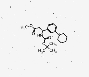 COC(=O)C[C@H](NC(=O)OC(C)(C)C)c1cccc(N2CCCCC2)c1